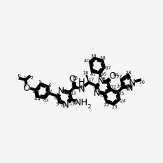 CC(C)Oc1ccc(-c2cnc(N)c(C(=O)N[C@@H](C)c3nc4cccc(-c5ccn(C)n5)c4c(=O)n3-c3ccccc3)n2)cc1